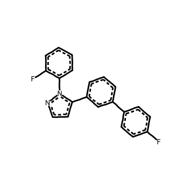 Fc1ccc(-c2cccc(-c3ccnn3-c3ccccc3F)c2)cc1